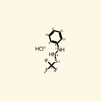 Cl.FC(F)(F)SNNc1ccccc1